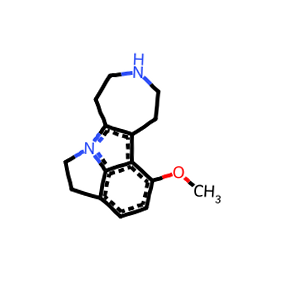 COc1ccc2c3c1c1c(n3CC2)CCNCC1